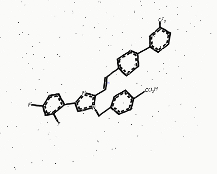 O=C(O)c1ccc(Cn2cc(-c3ccc(F)cc3F)nc2/C=C/c2ccc(-c3cccc(C(F)(F)F)c3)cc2)cc1